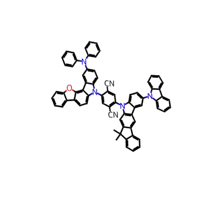 CC1(C)c2ccccc2-c2cc3c4cc(-n5c6ccccc6c6ccccc65)ccc4n(-c4cc(C#N)c(-n5c6ccc(N(c7ccccc7)c7ccccc7)cc6c6c7oc8ccccc8c7ccc65)cc4C#N)c3cc21